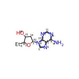 CC[C@@H]1O[C@H](n2cnc3c(N)ncnc32)CC1O